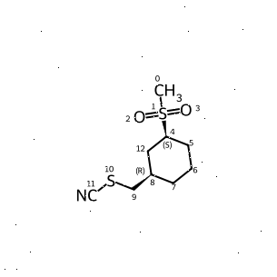 CS(=O)(=O)[C@H]1CCC[C@@H](CSC#N)C1